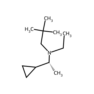 CCN(CC(C)(C)C)[C@H](C)C1CC1